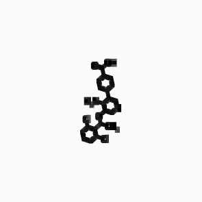 CC(Oc1cncc(-c2ccc(C(=O)O)cc2)c1N)c1c(Cl)cccc1Cl